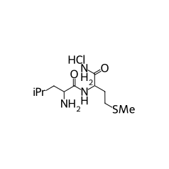 CSCCC(NC(=O)C(N)CC(C)C)C(N)=O.Cl